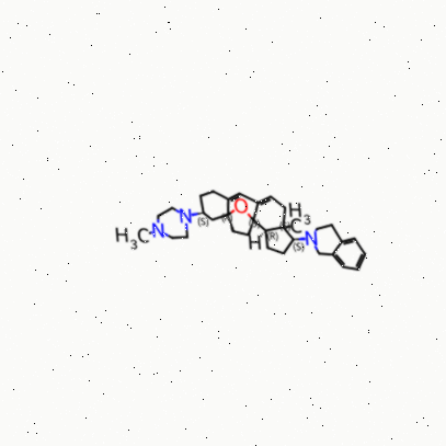 CN1CCN([C@H]2CCC3=CC4=CC[C@]5(C)[C@@H](N6CCc7ccccc7C6)CC[C@H]5[C@@]45CC[C@]3(C2)O5)CC1